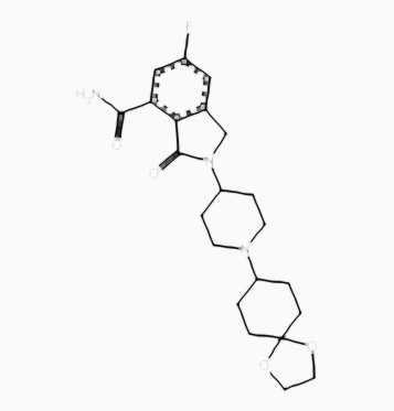 NC(=O)c1cc(F)cc2c1C(=O)N(C1CCN(C3CCC4(CC3)OCCO4)CC1)C2